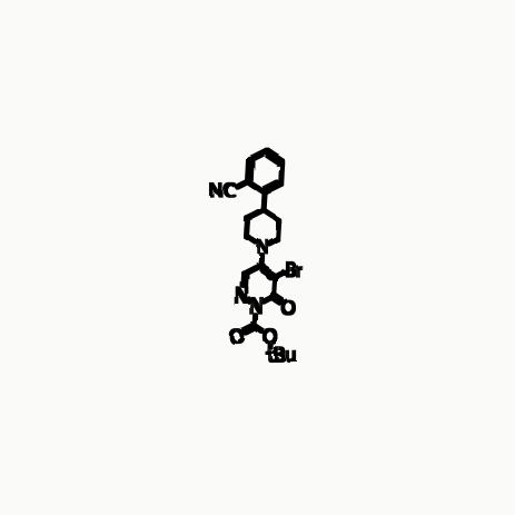 CC(C)(C)OC(=O)n1ncc(N2CCC(c3ccccc3C#N)CC2)c(Br)c1=O